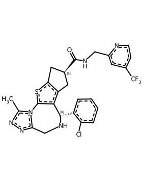 Cc1nnc2n1-c1sc3c(c1[C@H](c1ccccc1Cl)NC2)C[C@H](C(=O)NCc1cc(C(F)(F)F)ccn1)C3